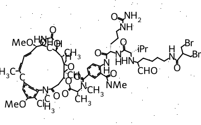 CNC(=O)c1cc(C(=O)N(C)[C@@H](C)C(=O)O[C@H]2CC(=O)N(C)c3cc(cc(OC)c3Cl)C/C(C)=C/C=C/[C@@H](OC)[C@@]3(O)C[C@H](OC(=O)N3)[C@@H](C)[C@@H]3O[C@@]23C)ccc1NC(=O)[C@H](CCCNC(N)=O)NC(=O)[C@@H](NC(C=O)CCCCNC(=O)C(CBr)CBr)C(C)C